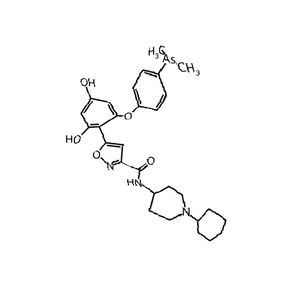 C[As](C)c1ccc(Oc2cc(O)cc(O)c2-c2cc(C(=O)NC3CCN(C4CCCCC4)CC3)no2)cc1